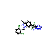 Cc1nn(Cc2c(F)cccc2Cl)c2cc(C(F)(F)c3nnn[nH]3)ccc12